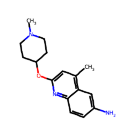 Cc1cc(OC2CCN(C)CC2)nc2ccc(N)cc12